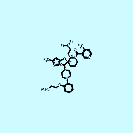 CCN(CC)CC[C@H]1N(C(=O)c2cnccc2C(F)(F)F)CCC[C@@]1(Oc1csc(C(F)(F)F)c1)C(=O)N1CCN(c2ccccc2OCCOC)CC1